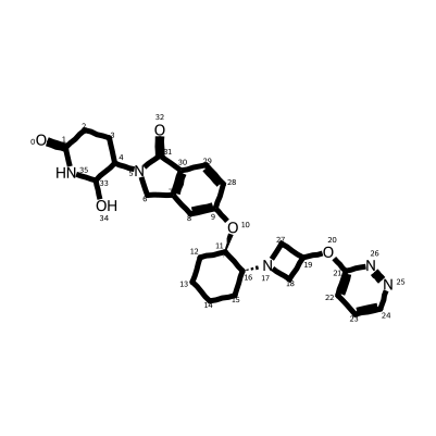 O=C1CCC(N2Cc3cc(O[C@@H]4CCCC[C@H]4N4CC(Oc5cccnn5)C4)ccc3C2=O)C(O)N1